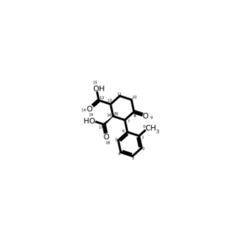 Cc1ccccc1C1C(=O)CCC(C(=O)O)[C@@H]1C(=O)O